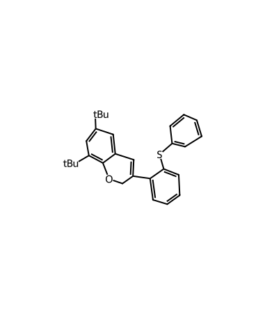 CC(C)(C)c1cc2c(c(C(C)(C)C)c1)OCC(c1ccccc1Sc1ccccc1)=C2